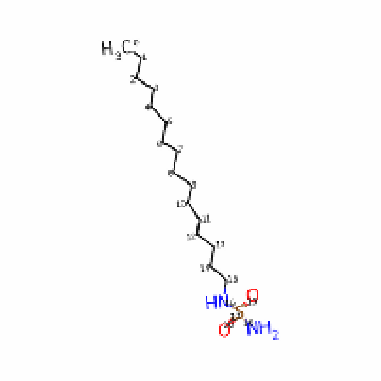 CCCCCCCCCCCCCCCCNS(N)(=O)=O